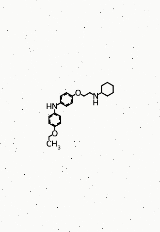 CCOc1ccc(Nc2ccc(OCCNC3CCCCC3)cc2)cc1